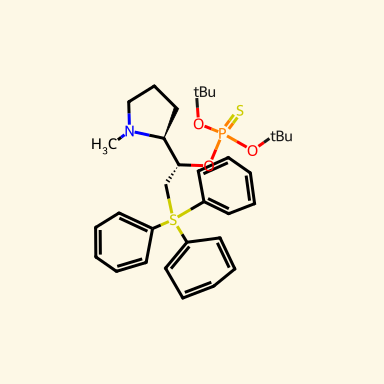 CN1CCC[C@H]1[C@@H](CS(c1ccccc1)(c1ccccc1)c1ccccc1)OP(=S)(OC(C)(C)C)OC(C)(C)C